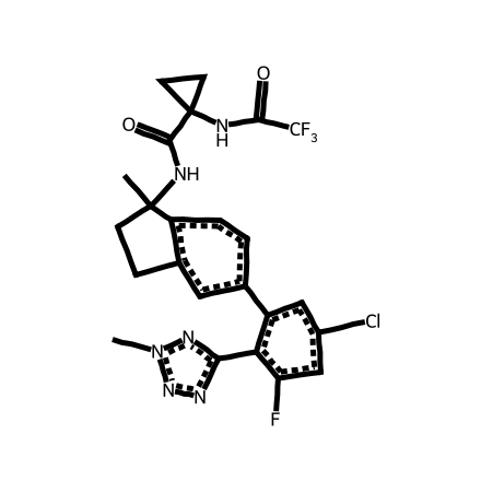 Cn1nnc(-c2c(F)cc(Cl)cc2-c2ccc3c(c2)CCC3(C)NC(=O)C2(NC(=O)C(F)(F)F)CC2)n1